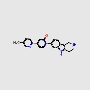 Cc1ccc(-c2ccn(-c3ccc4c5c([nH]c4c3)CCNC5)c(=O)c2)nc1